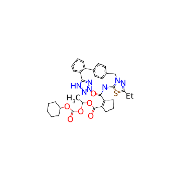 CCc1nn(Cc2ccc(-c3ccccc3-c3nnn[nH]3)cc2)c(=NC(=O)C2=C(C(=O)OC(C)OC(=O)OC3CCCCC3)CCC2)s1